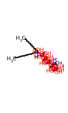 CCCCCCCCCCCCC/C=C/[C@@H](O)[C@H](CO[C@@H]1OC(CO)[C@@H](O[C@@H]2OC(CO)[C@H](O)[C@H](O[C@H]3OC(CO)[C@H](O)[C@H](O[C@@H]4OC(CO)[C@H](O)[C@H](O[C@@H]5OC(CO)[C@H](O)[C@H](O)C5O)C4NC(C)=O)C3O)C2O)[C@H](O)C1O)NC(=O)CCCCCCCCCCCCCCCCC